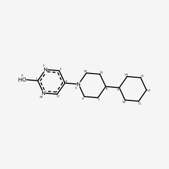 Oc1ncc(N2CCC(C3CCCCC3)CC2)cn1